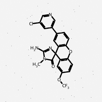 CN1C(=O)C2(N=C1N)c1cc(OC(F)(F)F)ccc1Oc1ccc(-c3cncc(Cl)c3)cc12